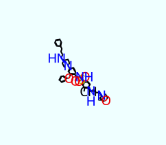 Cc1cc(S(=O)(=O)NC(=O)c2ccc(N3CCC(NCCCc4ccccc4)CC3)cc2Oc2ccccc2)ccc1NCCCN1CCOCC1